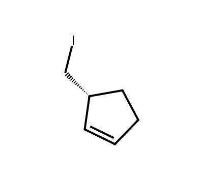 IC[C@H]1C=CCC1